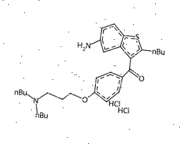 CCCCc1sc2ccc(N)cc2c1C(=O)c1ccc(OCCCN(CCCC)CCCC)cc1.Cl.Cl